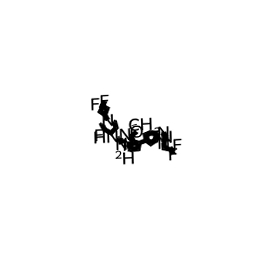 [2H]c1cc(-c2ccc3nnn(CC(F)F)c3c2)c2c(OC)nc(N[C@H]3CCN(C4CC(F)(F)C4)C[C@H]3F)nn12